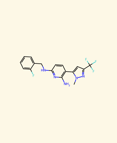 Cn1nc(C(F)(F)F)cc1-c1ccc(NCc2ccccc2F)nc1N